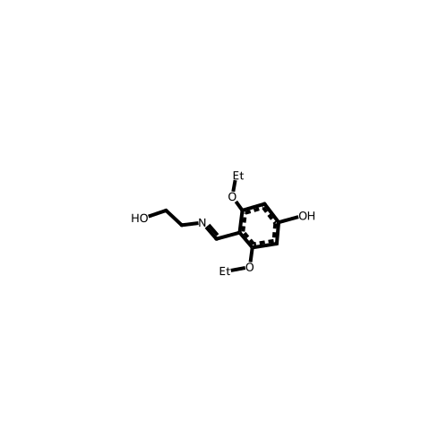 CCOc1cc(O)cc(OCC)c1/C=N/CCO